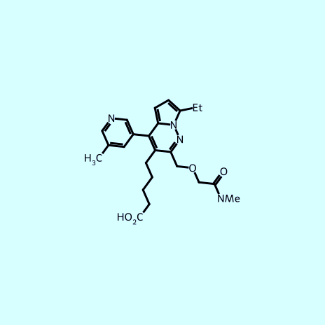 CCc1ccc2c(-c3cncc(C)c3)c(CCCCC(=O)O)c(COCC(=O)NC)nn12